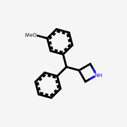 COc1cccc(C(c2ccccc2)C2CNC2)c1